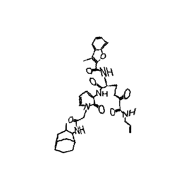 C=CCNC(=O)C(=O)CC[C@H](NC(=O)c1oc2ccccc2c1C)C(=O)Nc1cccn(CC(=O)NC2C(C)CC3CCCC2C3)c1=O